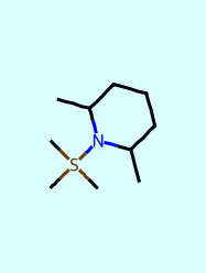 CC1CCCC(C)N1S(C)(C)C